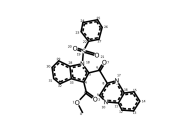 COC(=O)c1c(C(=O)c2cnc3ccccc3n2)n(S(=O)(=O)c2ccccc2)c2ccccc12